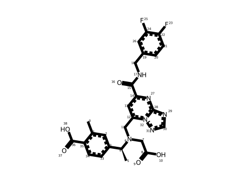 Cc1cc([C@H](C)N(CC(=O)O)Cc2cc(C(=O)NCc3ccc(F)c(F)c3)nc3ncnn23)ccc1C(=O)O